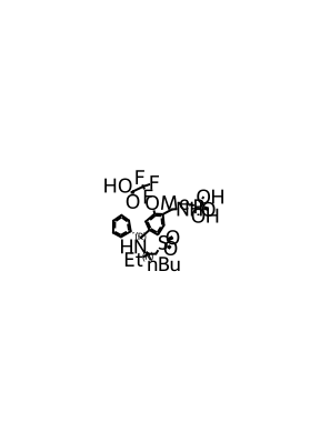 CCCC[C@]1(CC)CS(=O)(=O)c2cc(CNCP(=O)(O)O)c(OC)cc2[C@@H](c2ccccc2)N1.O=C(O)C(F)(F)F